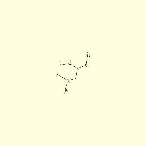 CCOC(CN(C(C)C)C(C)C)OCC